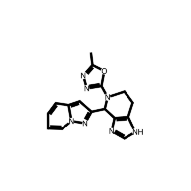 Cc1nnc(N2CCc3[nH]cnc3C2c2cc3ccccn3n2)o1